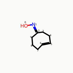 O/N=C1/CC/C=C/CCC1